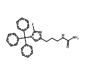 NC(=O)NCCCc1cn(C(c2ccccc2)(c2ccccc2)c2ccccc2)c(F)n1